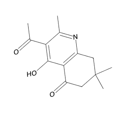 CC(=O)c1c(C)nc2c(c1O)C(=O)CC(C)(C)C2